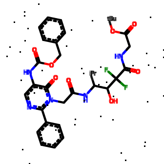 CC(C)C(NC(=O)Cn1c(-c2ccccc2)ncc(NC(=O)OCc2ccccc2)c1=O)C(O)C(F)(F)C(=O)NCC(=O)OC(C)(C)C